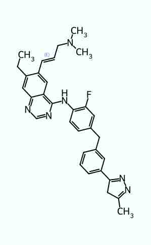 CCc1cc2ncnc(Nc3ccc(Cc4cccc(C5=NN=C(C)C5)c4)cc3F)c2cc1/C=C/CN(C)C